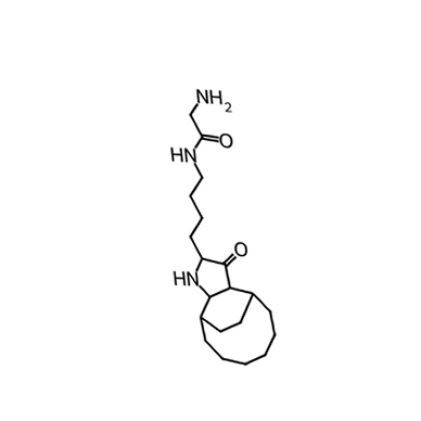 NCC(=O)NCCCCC1NC2C3CCCCCCC(CC3)C2C1=O